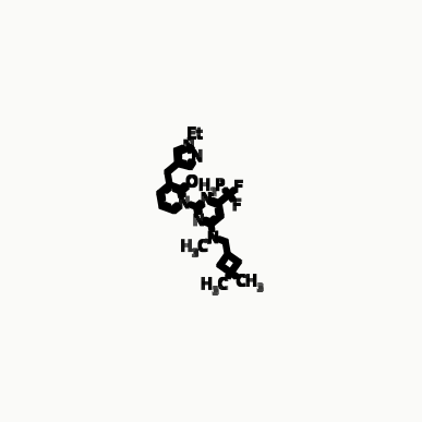 CCn1cc(Cc2cccn(-c3nc(N(C)CC4CC(C)(C)C4)cc(C(F)(F)P)n3)c2=O)cn1